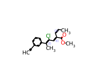 C#Cc1cccc(/C(C)=C(Cl)/C=C(\C=C/C)C(=O)OC)c1